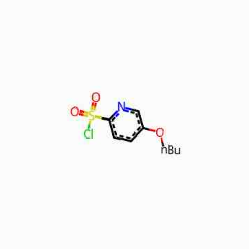 CCCCOc1ccc(S(=O)(=O)Cl)nc1